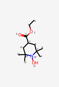 CCOC(=O)C1CC(C)(C)N(O)C(C)(C)C1